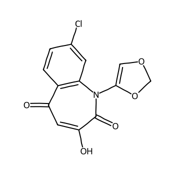 O=c1cc(O)c(=O)n(C2=COCO2)c2cc(Cl)ccc12